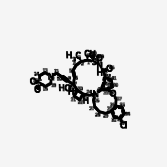 C[C@@H]1[C@@H](C)C/C=C/[C@](O)(C#CCN2CCS(=O)(=O)CC2)[C@@H]2CC[C@H]2CN2CCCCc3cc(Cl)ccc3COc3ccc(cc32)C(=O)NS1(=O)=O